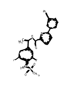 CC(C)c1cccc(-c2ccc(C(=O)NC(C)c3cc(F)c(NS(C)(=O)=O)c(F)c3)s2)c1